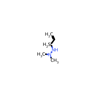 C=C[SiH2]NN(C)C